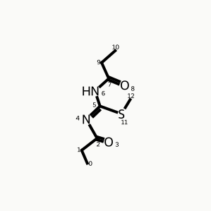 CCC(=O)N=C(NC(=O)CC)SC